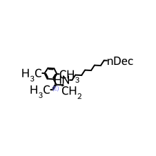 C=C(NCCCCCCCCCCCCCCCCCC)/C(=C/C)c1cc(C)ccc1C